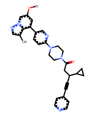 CCOc1cc(-c2ccc(N3CCN(C(=O)CC(C#Cc4ccncc4)C4CC4)CC3)nc2)c2c(C#N)cnn2c1